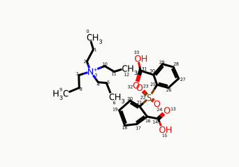 CCC[N+](CCC)(CCC)CCC.O=C(O)c1ccccc1S(=O)(=O)c1ccccc1C(=O)O